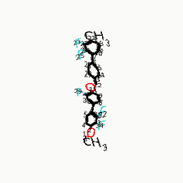 CCOc1ccc(-c2ccc(OCC3CC=C(c4ccc(C)c(F)c4F)CC3)c(F)c2)c(F)c1F